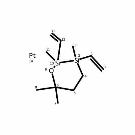 C=C[Si]1(C)CCC(C)(C)O[Si]1(C)C=C.[Pt]